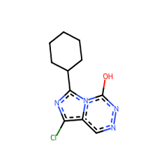 Oc1nncc2c(Cl)nc(C3CCCCC3)n12